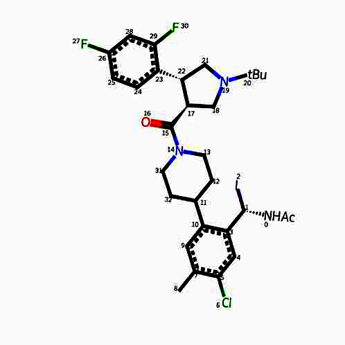 CC(=O)N[C@@H](I)c1cc(Cl)c(C)cc1C1CCN(C(=O)[C@@H]2CN(C(C)(C)C)C[C@H]2c2ccc(F)cc2F)CC1